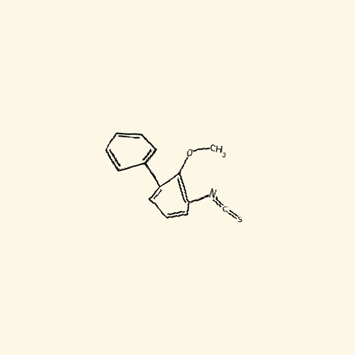 COc1c(N=C=S)cccc1-c1ccccc1